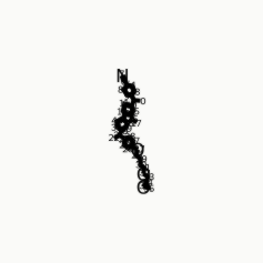 CC(c1ccc(C#N)cc1)c1ccc2c(c1)C(C)c1cc(C(C)c3ccc(OCCCCOCC4CO4)cc3)ccc1-2